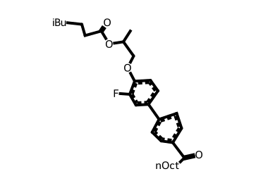 CCCCCCCCC(=O)c1ccc(-c2ccc(OCC(C)OC(=O)CCC(C)CC)c(F)c2)cc1